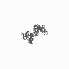 CCOC(=O)c1sc2c(nc(CN3CCC(C4O[C@](C)(c5ccc(Cl)cc5F)Oc5ccccc54)CC3)n2C[C@@H]2CCO2)c1Cl